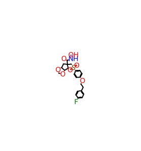 O=C(NO)C1(CS(=O)(=O)c2ccc(OCCc3ccc(F)cc3)cc2)CC2OCOC2C1